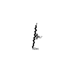 CCCCCCCCCCCCCCCCCC(CCCCCCCF)S(=O)(=O)[O-].[Li+]